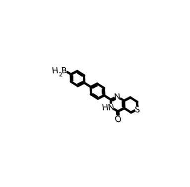 Bc1ccc(-c2ccc(-c3nc4c(c(=O)[nH]3)CSCC4)cc2)cc1